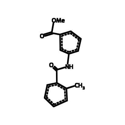 COC(=O)c1cccc(NC(=O)c2ccccc2C)c1